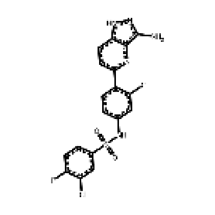 Nc1n[nH]c2ccc(-c3ccc(NS(=O)(=O)c4ccc(F)c(Cl)c4)cc3Cl)nc12